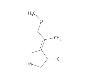 COC/C(C)=C1\CNCC1C